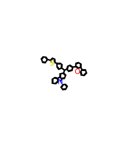 c1ccc(-c2ccc(-c3ccc(C(c4ccc(-c5cccc6c5oc5ccccc56)cc4)c4ccc5c(c4)c4ccccc4n5-c4ccccc4)cc3)s2)cc1